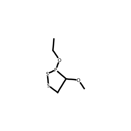 CCOP1SSCC1OC